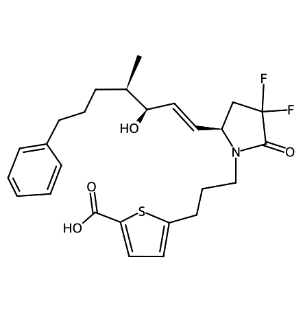 C[C@H](CCCc1ccccc1)[C@H](O)/C=C/[C@H]1CC(F)(F)C(=O)N1CCCc1ccc(C(=O)O)s1